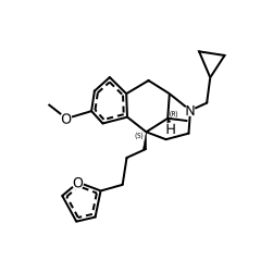 COc1ccc2c(c1)[C@@]1(CCCc3ccco3)CCN(CC3CC3)C(C2)[C@@H]1C